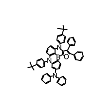 CC(C)(C)c1ccc(N2c3cc(N(c4ccccc4)c4ccccc4)ccc3B3c4oc(-c5ccccc5)c(-c5ccccc5)c4N(c4ccc(C(C)(C)C)cc4)c4cccc2c43)cc1